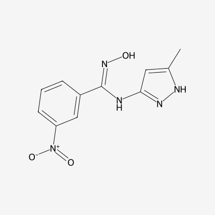 Cc1cc(NC(=NO)c2cccc([N+](=O)[O-])c2)n[nH]1